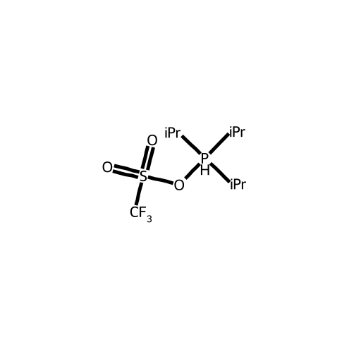 CC(C)[PH](OS(=O)(=O)C(F)(F)F)(C(C)C)C(C)C